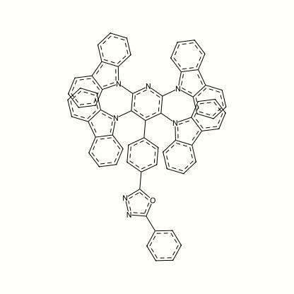 c1ccc(-c2nnc(-c3ccc(-c4c(-n5c6ccccc6c6ccccc65)c(-n5c6ccccc6c6ccccc65)nc(-n5c6ccccc6c6ccccc65)c4-n4c5ccccc5c5ccccc54)cc3)o2)cc1